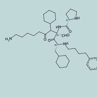 NCCCCCC(=O)C(C1CCCCC1)[C@@]([C]=O)(NC(=O)[C@@H]1CCCN1)C(=O)[C@@H](CC1CCCCC1)NCCCCc1ccccc1